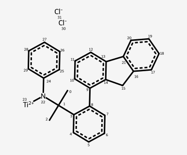 CC(C)(c1ccccc1-c1cccc2c1Cc1ccccc1-2)[N]([Ti+2])c1ccccc1.[Cl-].[Cl-]